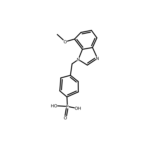 COc1cccc2ncn(Cc3ccc(P(=O)(O)O)cc3)c12